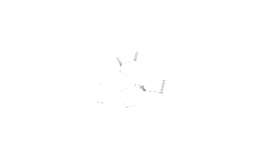 C=C(C)C(=O)OC.C=C(C)C(=O)OC(CC)[Si](OC)(OC)OC